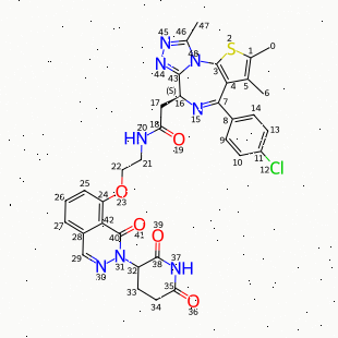 Cc1sc2c(c1C)C(c1ccc(Cl)cc1)=N[C@@H](CC(=O)NCCOc1cccc3cnn(C4CCC(=O)NC4=O)c(=O)c13)c1nnc(C)n1-2